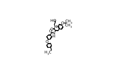 CCc1ccc(Oc2ccc(C(=O)NC(=Cc3ccc(OC(C)C)cc3)C(=O)NCCO)cc2)cc1